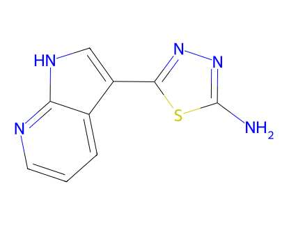 Nc1nnc(-c2c[nH]c3ncccc23)s1